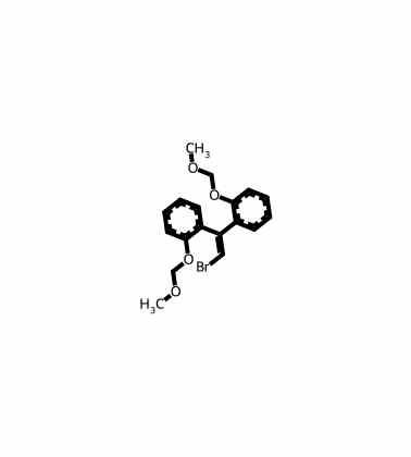 COCOc1ccccc1C(=CBr)c1ccccc1OCOC